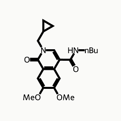 CCCCNC(=O)c1cn(CC2CC2)c(=O)c2cc(OC)c(OC)cc12